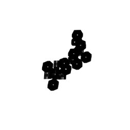 c1ccc(C2NC(c3ccccc3)NC(c3cccc4c(-n5c6ccccc6c6c5ccc5c7c8oc9ccccc9c8ccc7n(-c7ccccc7)c56)cccc34)N2)cc1